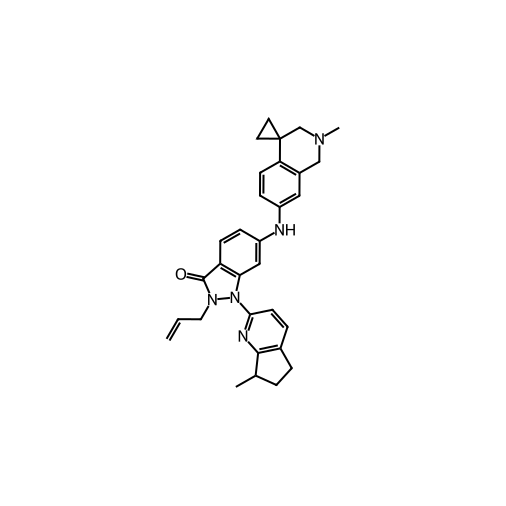 C=CCn1c(=O)c2ccc(Nc3ccc4c(c3)CN(C)CC43CC3)cc2n1-c1ccc2c(n1)C(C)CC2